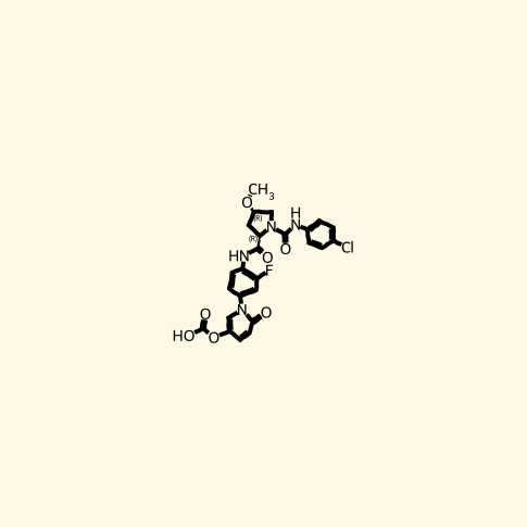 CO[C@@H]1C[C@H](C(=O)Nc2ccc(-n3cc(OC(=O)O)ccc3=O)cc2F)N(C(=O)Nc2ccc(Cl)cc2)C1